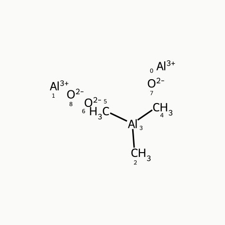 [Al+3].[Al+3].[CH3][Al]([CH3])[CH3].[O-2].[O-2].[O-2]